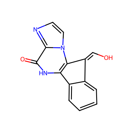 O=c1[nH]c2c3ccccc3c(=CO)c2n2ccnc12